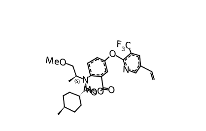 C=Cc1cnc(Oc2ccc(N(C(=O)[C@H]3CC[C@H](C)CC3)[C@@H](C)COC)c(C(=O)OC)c2)c(C(F)(F)F)c1